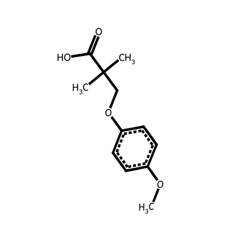 COc1ccc(OCC(C)(C)C(=O)O)cc1